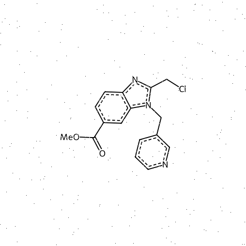 COC(=O)c1ccc2nc(CCl)n(Cc3cccnc3)c2c1